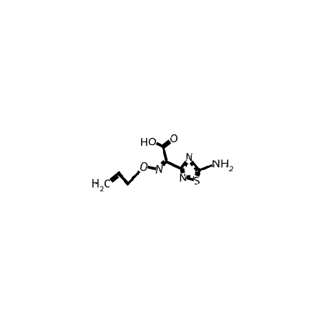 C=CCON=C(C(=O)O)c1nsc(N)n1